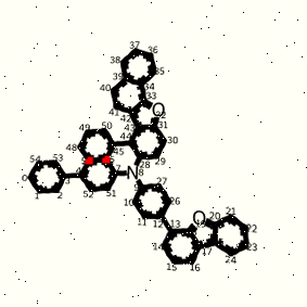 c1ccc(-c2ccc(N(c3ccc(-c4cccc5c4oc4ccccc45)cc3)c3ccc4oc5c6ccccc6ccc5c4c3-c3ccccc3)cc2)cc1